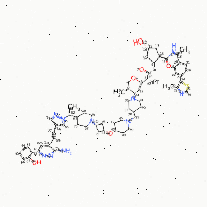 C=C1COC([C@H](C(=O)CC2C[C@H](O)C[C@H]2C(=O)N[C@@H](C)c2ccc(-c3scnc3C)cc2)C(C)C)=CC1N1CCC(CN2CCC(O[C@H]3C[C@H](N4CCC(C(C)n5cc(C#Cc6cc(-c7ccccc7O)nnc6N)cn5)CC4)C3)CC2)CC1